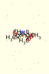 COc1cc(-c2nnc(-c3cc(OC)c(OC)cc3I)s2)ccc1C